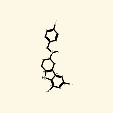 CN(Cc1ccc(F)cc1)C1CCc2[nH]c3c(F)cc(F)cc3c2C1